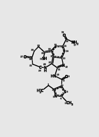 CCc1nc(C)sc1C(=O)NC1=Nc2cc(C(N)=O)c/c3c2=C1NCCC(=O)CC/C=3S